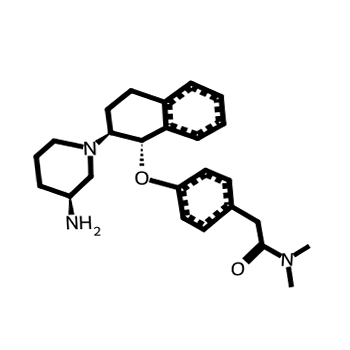 CN(C)C(=O)Cc1ccc(O[C@H]2c3ccccc3CC[C@@H]2N2CCC[C@H](N)C2)cc1